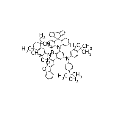 Cc1cc2c(cc1N1B3c4cccc5c4N(c4ccccc4C54c5ccccc5-c5ccccc54)c4cc(N(c5ccc(C(C)(C)C)cc5)c5ccc(C(C)(C)C)cc5)cc(c43)-c3cc4c(cc31)oc1ccccc14)C(C)(C)CCC2(C)C